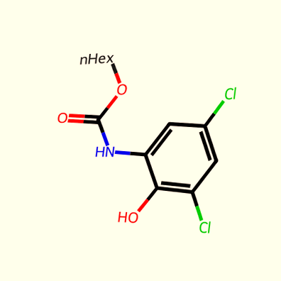 CCCCCCOC(=O)Nc1cc(Cl)cc(Cl)c1O